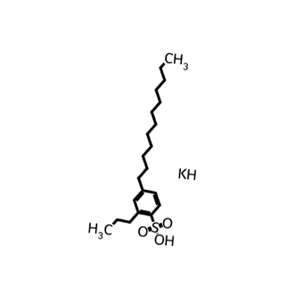 CCCCCCCCCCCCc1ccc(S(=O)(=O)O)c(CCC)c1.[KH]